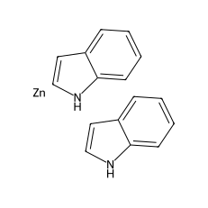 [Zn].c1ccc2[nH]ccc2c1.c1ccc2[nH]ccc2c1